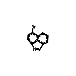 Brc1ccc2c3c(cccc13)C=N2